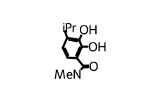 CNC(=O)c1ccc(C(C)C)c(O)c1O